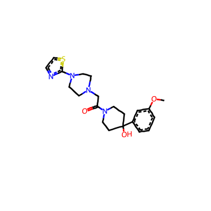 COc1cccc(C2(O)CCN(C(=O)CN3CCN(c4nccs4)CC3)CC2)c1